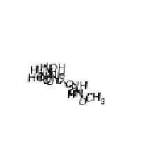 Cc1ccccc1CNCC(=O)Nc1ccc(-c2ccc(C(=O)N[C@H](C(=O)NO)[C@@H](N)O)cc2)cc1